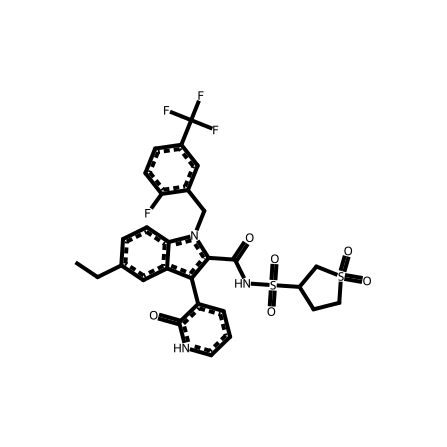 CCc1ccc2c(c1)c(-c1ccc[nH]c1=O)c(C(=O)NS(=O)(=O)C1CCS(=O)(=O)C1)n2Cc1cc(C(F)(F)F)ccc1F